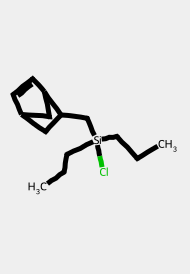 CCC[Si](Cl)(CCC)CC1CC2C=CC1C2